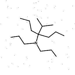 CCCN(CCC)C(CCC)(CCC)C(C)C